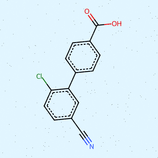 N#Cc1ccc(Cl)c(-c2ccc(C(=O)O)cc2)c1